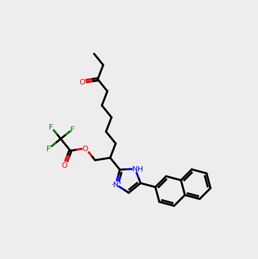 CCC(=O)CCCCCC(COC(=O)C(F)(F)F)C1=[N+]C=C(c2ccc3ccccc3c2)N1